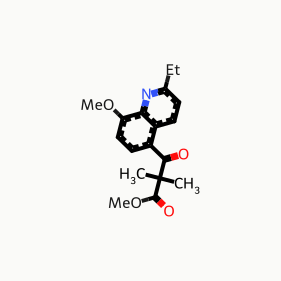 CCc1ccc2c(C(=O)C(C)(C)C(=O)OC)ccc(OC)c2n1